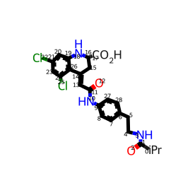 CC(C)C(=O)NCCc1ccc(NC(=O)C=C2CC(C(=O)O)Nc3cc(Cl)cc(Cl)c32)cc1